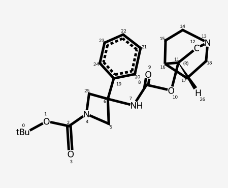 CC(C)(C)OC(=O)N1CC(NC(=O)O[C@H]2CN3CCC2CC3)(c2ccccc2)C1